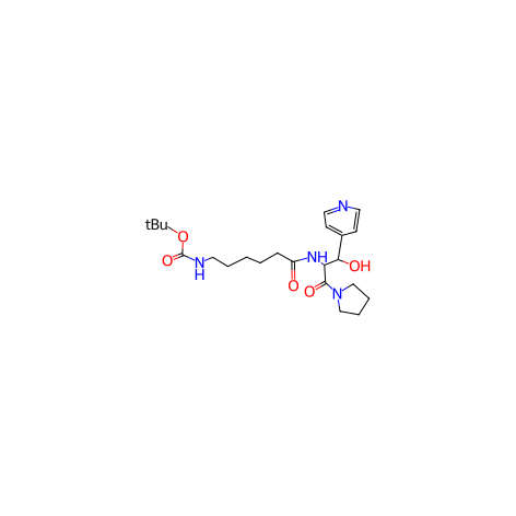 CC(C)(C)OC(=O)NCCCCCC(=O)NC(C(=O)N1CCCC1)C(O)c1ccncc1